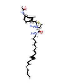 CCCCCCCCCCCCCCCNC(=O)[C@@H]1CSC(c2ccc(NC(C)=O)cc2)N1